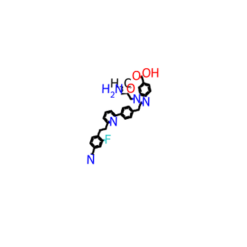 CO[C@H](CN)Cn1c(Cc2ccc(-c3cccc(CCc4ccc(C#N)cc4F)n3)cc2)nc2ccc(C(=O)O)cc21